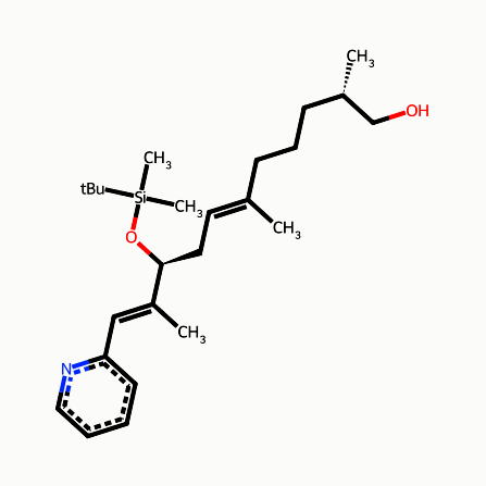 C/C(=C\C[C@H](O[Si](C)(C)C(C)(C)C)/C(C)=C/c1ccccn1)CCC[C@H](C)CO